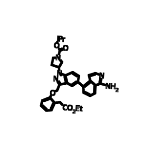 CCOC(=O)Cc1ccccc1OCc1nn(C2CCN(C(=O)OC(C)C)C2)c2ccc(-c3cccc4c(N)nccc34)cc12